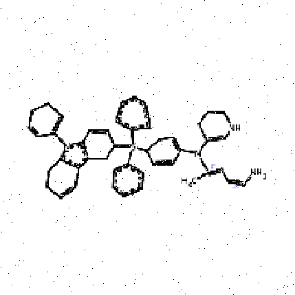 C/C(=C\C=C/N)N(C1=CCC([Si](c2ccccc2)(c2ccccc2)C2C=Cc3c(c4c(n3C3=CCCC=C3)CCC=C4)C2)C=C1)C1=CNCCC1